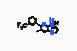 Cc1cc2c(nc1-c1cccc(C(F)(F)F)c1)N[C@H]1CCN2C1